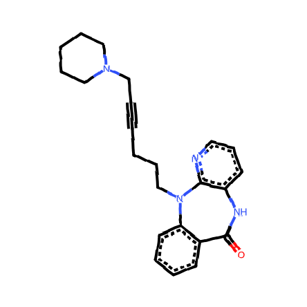 O=C1Nc2cccnc2N(CCCC#CCN2CCCCC2)c2ccccc21